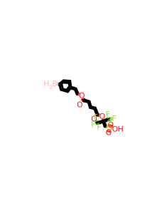 Bc1ccc(CCOC(=O)CCCC(=O)OC(CS(=O)(=O)O)(C(F)(F)F)C(F)(F)F)cc1